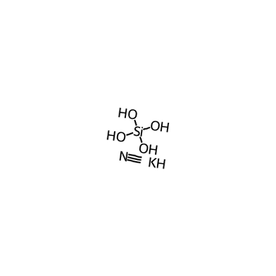 C#N.O[Si](O)(O)O.[KH]